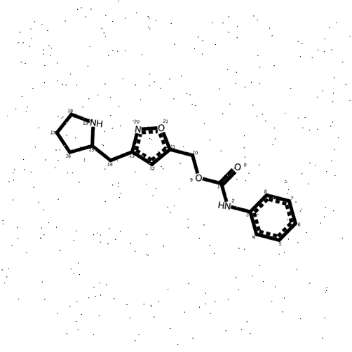 O=C(Nc1ccccc1)OCc1cc(CC2CCCN2)no1